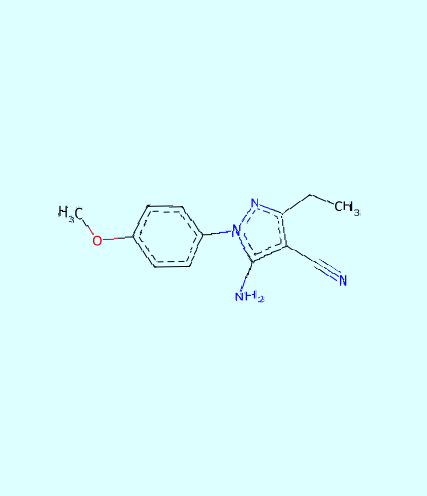 CCc1nn(-c2ccc(OC)cc2)c(N)c1C#N